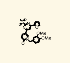 COc1ccc(Cn2cc(-c3cc(-c4ccco4)nc(S(C)(=O)=O)n3)ccc2=O)cc1OC